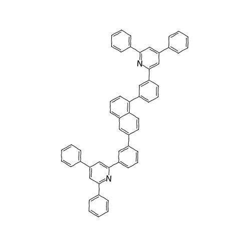 c1ccc(-c2cc(-c3ccccc3)nc(-c3cccc(-c4ccc5c(-c6cccc(-c7cc(-c8ccccc8)cc(-c8ccccc8)n7)c6)cccc5c4)c3)c2)cc1